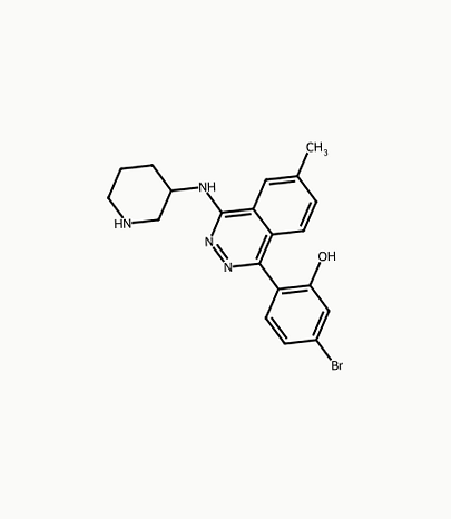 Cc1ccc2c(-c3ccc(Br)cc3O)nnc(NC3CCCNC3)c2c1